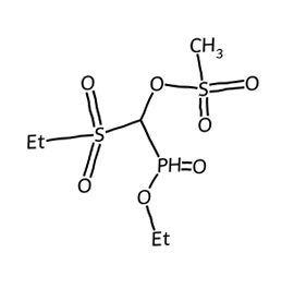 CCO[PH](=O)C(OS(C)(=O)=O)S(=O)(=O)CC